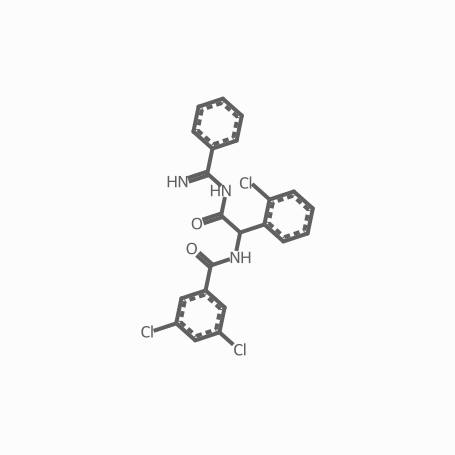 N=C(NC(=O)C(NC(=O)c1cc(Cl)cc(Cl)c1)c1ccccc1Cl)c1ccccc1